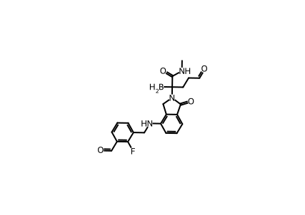 BC(CCC=O)(C(=O)NC)N1Cc2c(NCc3cccc(C=O)c3F)cccc2C1=O